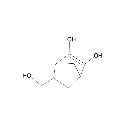 OCC1CC2CC1C(O)=C2O